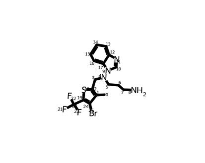 Cc1c(CN(CCCN)n2cnc3ccccc32)sc(C(F)(F)F)c1Br